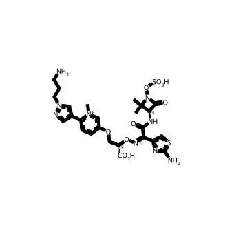 C[n+]1cc(OC[C@H](O/N=C(\C(=O)N[C@@H]2C(=O)N(OS(=O)(=O)O)C2(C)C)c2csc(N)n2)C(=O)O)ccc1-c1cnn(CCCN)c1